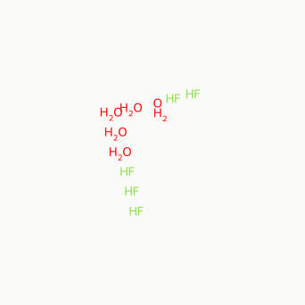 F.F.F.F.F.O.O.O.O.O